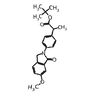 COc1ccc2c(c1)C(=O)N(c1ccc(C(C)C(=O)OC(C)(C)C)cc1)C2